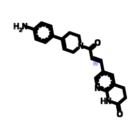 Nc1ccc(C2=CCN(C(=O)/C=C/c3cnc4c(c3)CCC(=O)N4)CC2)cc1